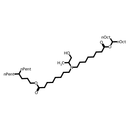 CCCCCCCCC(CCCCCCCC)OC(=O)CCCCCCCN(CCCCCCCC(=O)OCCCC(CCCCC)CCCCC)C(C)CO